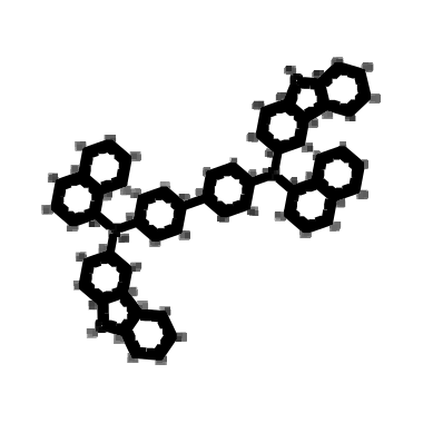 c1ccc2c(N(c3ccc(-c4ccc(N(c5ccc6oc7ccccc7c6c5)c5cccc6ccccc56)cc4)cc3)c3ccc4oc5ccccc5c4c3)cccc2c1